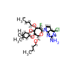 CCCCOC[C@H]1O[C@@H](n2ccc3c(Cl)nc(N)nc32)[C@@H](F)[C@H](OCCCC)[C@@H](OCCCC)[C@@H]1OCCCC